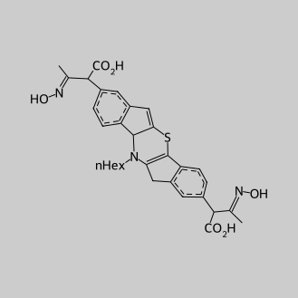 CCCCCCN1C2=C(SC3=Cc4cc(C(C(=O)O)C(C)=NO)ccc4C31)c1ccc(C(C(=O)O)C(C)=NO)cc1C2